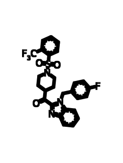 O=C(c1nc2ccccc2n1Cc1ccc(F)cc1)C1CCN(S(=O)(=O)c2ccccc2C(F)(F)F)CC1